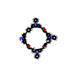 In1c2ccc3cc2c2cc(ccc21)-c1ccc(cc1)-c1ccc2c(c1)c1cc(ccc1n2-c1ccccc1)-c1ccc(cc1)-c1ccc2c(c1)c1cc(ccc1n2-c1ccccc1)-c1ccc(cc1)-c1ccc2c(c1)c1cc(ccc1n2-c1ccccc1)-c1ccc-3cc1